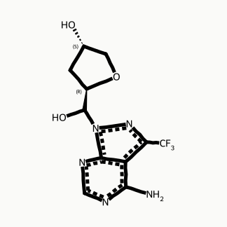 Nc1ncnc2c1c(C(F)(F)F)nn2C(O)[C@H]1C[C@H](O)CO1